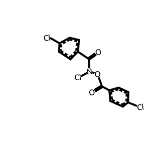 O=C(ON(Cl)C(=O)c1ccc(Cl)cc1)c1ccc(Cl)cc1